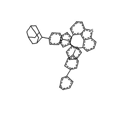 c1ccc(-c2ccc(N(c3ccccc3)c3cccc4sc5cccc(N(c6ccccc6)c6ccc(C7C8CC9CC(C8)CC7C9)cc6)c5c34)cc2)cc1